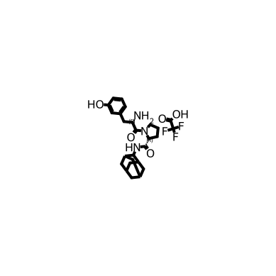 N[C@@H](Cc1cccc(O)c1)C(=O)N1CCC[C@@H]1C(=O)NC1C2CC3CC(C2)CC1C3.O=C(O)C(F)(F)F